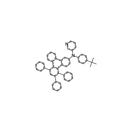 CC(C)(C)c1ccc(N(c2cccnc2)c2ccc3c(c2)c2ccccc2c2c(-c4ccccc4)cc(-c4ccccc4)c(-c4ccccc4)c32)cc1